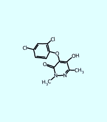 Cc1nn(C)c(=O)c(Oc2ccc(Cl)cc2Cl)c1O